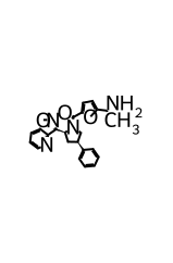 C[C@H](N)c1ccc(C(=O)N2C[C@@H](c3ccccc3)C[C@H]2c2noc3cccnc23)o1